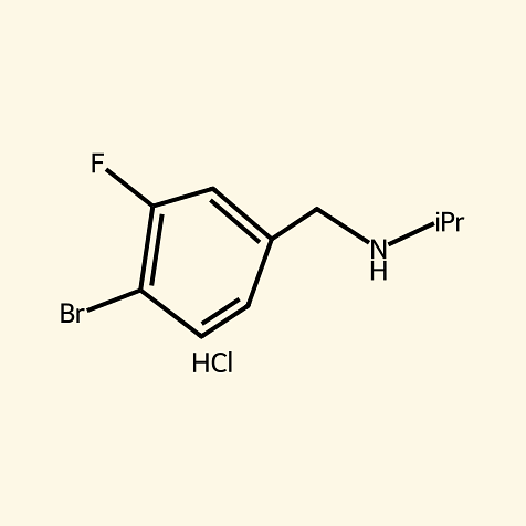 CC(C)NCc1ccc(Br)c(F)c1.Cl